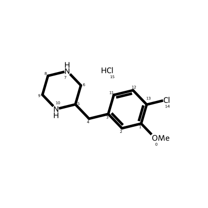 COc1cc(CC2CNCCN2)ccc1Cl.Cl